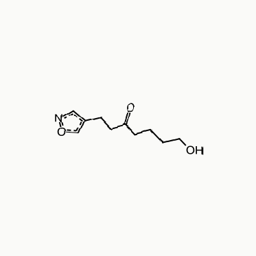 O=C(CCCCO)CCc1cnoc1